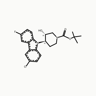 CC(C)(C)OC(=O)N1CC[C@@H](n2c3ccc(F)cc3c3cc(Cl)ccc32)[C@H](O)C1